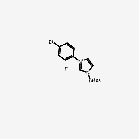 CCCCCCn1cc[n+](-c2ccc(CC)cc2)c1.[I-]